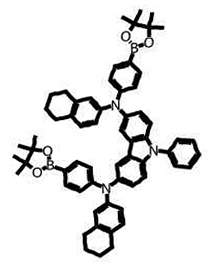 CC1(C)OB(c2ccc(N(c3ccc4c(c3)CCCC4)c3ccc4c(c3)c3cc(N(c5ccc(B6OC(C)(C)C(C)(C)O6)cc5)c5ccc6c(c5)CCCC6)ccc3n4-c3ccccc3)cc2)OC1(C)C